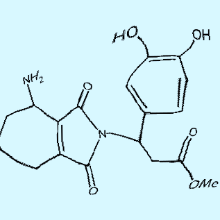 COC(=O)CC(c1ccc(O)c(O)c1)N1C(=O)C2=C(C1=O)C(N)CCC2